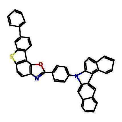 c1ccc(-c2ccc3c(c2)sc2ccc4nc(-c5ccc(-n6c7cc8ccccc8cc7c7c8ccccc8ccc76)cc5)oc4c23)cc1